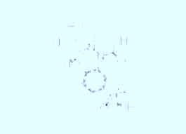 CCN(CC)N(C(C)=O)c1cc([As](=O)(O)O)ccc1O